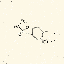 CCNS(=O)(=O)Cc1ccc(C)c(Cl)c1